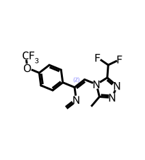 C=N/C(=C\n1c(C)nnc1C(F)F)c1ccc(OC(F)(F)F)cc1